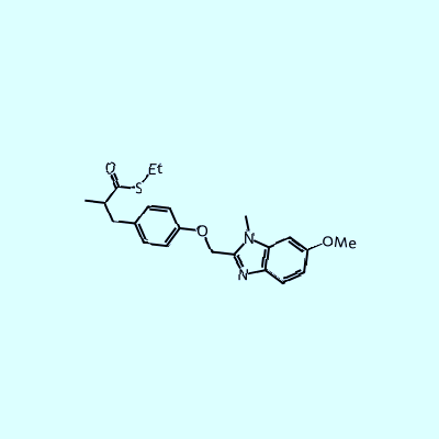 CCSC(=O)C(C)Cc1ccc(OCc2nc3ccc(OC)cc3n2C)cc1